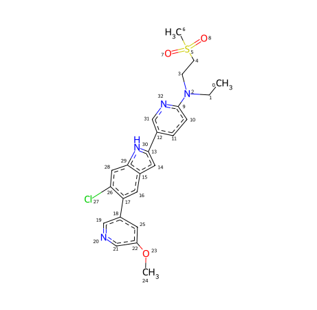 CCN(CCS(C)(=O)=O)c1ccc(-c2cc3cc(-c4cncc(OC)c4)c(Cl)cc3[nH]2)cn1